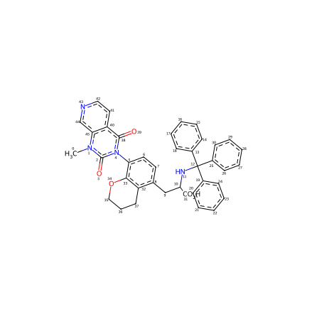 Cn1c(=O)n(-c2ccc(CC(NC(c3ccccc3)(c3ccccc3)c3ccccc3)C(=O)O)c3c2OCCC3)c(=O)c2ccncc21